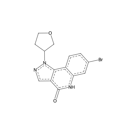 O=c1[nH]c2cc(Br)ccc2c2c1cnn2C1CCOC1